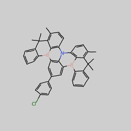 Cc1ccc2c3c1C(C)(C)c1ccccc1B3c1cc(-c3ccc(Cl)cc3)cc3c1N2c1ccc(C)c2c1B3c1ccccc1C2(C)C